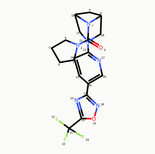 O=C(N1CCCC1)N1C2CC1CN(c1ccc(-c3noc(C(F)(F)F)n3)cn1)C2